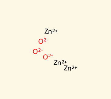 [O-2].[O-2].[O-2].[Zn+2].[Zn+2].[Zn+2]